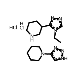 CCn1cnnc1C1CCCNC1.Cl.Cl.c1[nH]nnc1N1CCCCC1